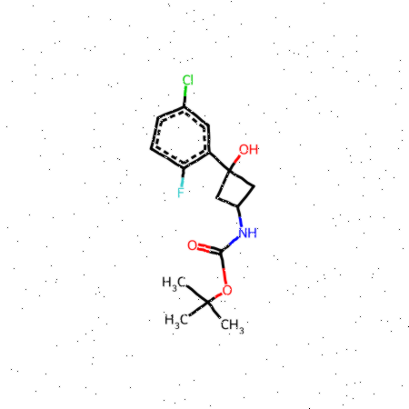 CC(C)(C)OC(=O)NC1CC(O)(c2cc(Cl)ccc2F)C1